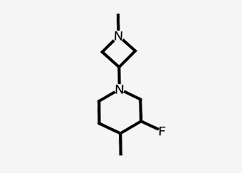 CC1CCN(C2CN(C)C2)CC1F